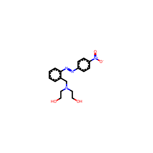 O=[N+]([O-])c1ccc(N=Nc2ccccc2CN(CCO)CCO)cc1